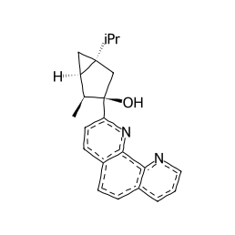 CC(C)[C@@]12C[C@@H]1[C@H](C)[C@@](O)(c1ccc3ccc4cccnc4c3n1)C2